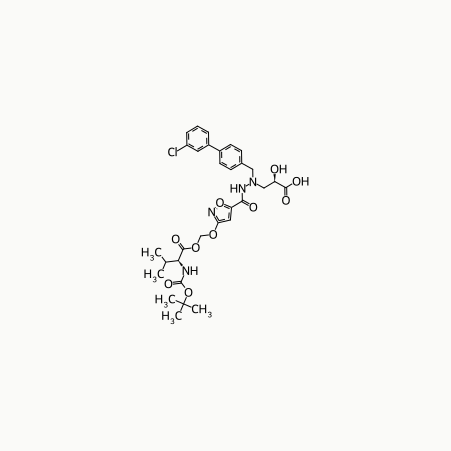 CC(C)[C@H](NC(=O)OC(C)(C)C)C(=O)OCOc1cc(C(=O)NN(Cc2ccc(-c3cccc(Cl)c3)cc2)C[C@@H](O)C(=O)O)on1